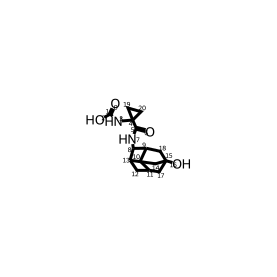 O=C(O)NC1(C(=O)NC2C3CC4CC2CC(O)(C4)C3)CC1